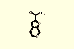 CC(Cl)c1cc2ccncc2o1